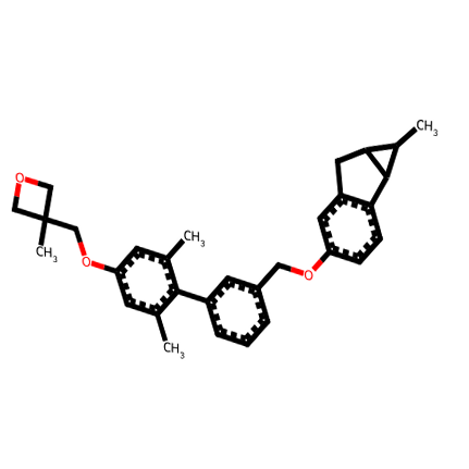 Cc1cc(OCC2(C)COC2)cc(C)c1-c1cccc(COc2ccc3c(c2)CC2C(C)C32)c1